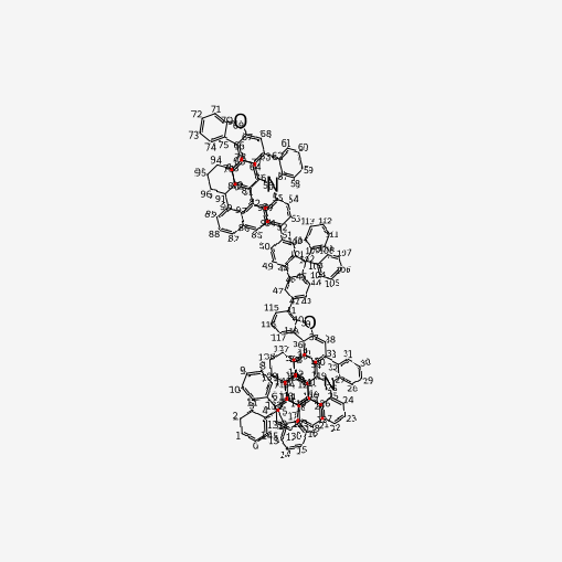 C1=CCCC(C2(c3ccccc3)c3ccccc3-c3c(-c4ccccc4N(c4ccccc4-c4ccc5c(c4)oc4c(-c6ccc7c(c6)-c6ccc(-c8ccc(N(c9ccccc9-c9ccc%10c(c9)oc9ccccc9%10)c9ccccc9-c9cccc%10cccc(C%11CCCCC%11)c9%10)cc8)cc6C7(c6ccccc6)c6ccccc6)cccc45)c4ccccc4-c4cccc5cccc(C6CCCCC6)c45)cccc32)=C1